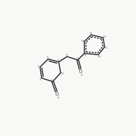 O=C1[C]=CC=C(CC(=O)c2ccccc2)C1